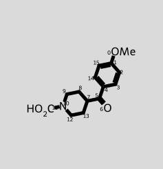 COc1ccc(C(=O)C2CCN(C(=O)O)CC2)cc1